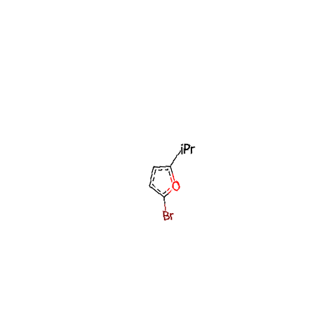 CC(C)c1ccc(Br)o1